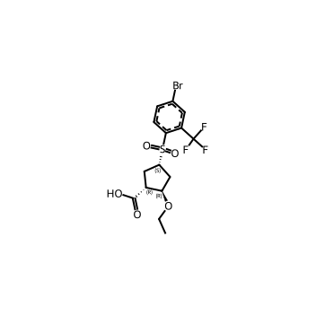 CCO[C@@H]1C[C@@H](S(=O)(=O)c2ccc(Br)cc2C(F)(F)F)C[C@H]1C(=O)O